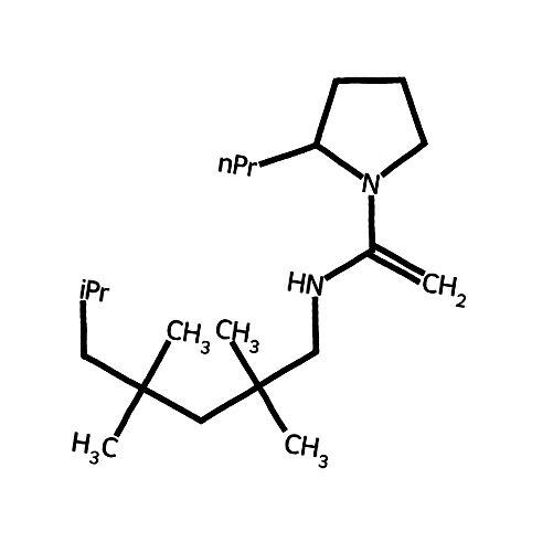 C=C(NCC(C)(C)CC(C)(C)CC(C)C)N1CCCC1CCC